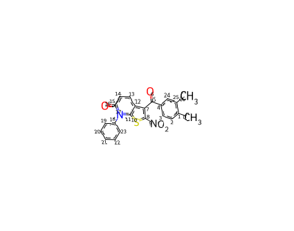 Cc1ccc(C(=O)c2c([N+](=O)[O-])sc3c2ccc(=O)n3-c2ccccc2)cc1C